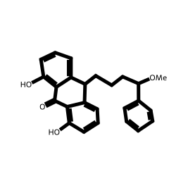 COC(CCCC1c2cccc(O)c2C(=O)c2c(O)cccc21)c1ccccc1